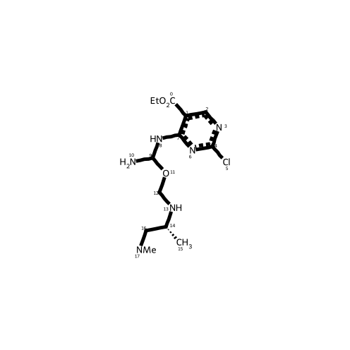 CCOC(=O)c1cnc(Cl)nc1NC(N)OCN[C@H](C)CNC